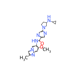 COc1cc2nc(C)cn2cc1NC(=O)c1cnc(N2CCC(NC3CC3)C2)cn1